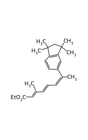 CCOC(=O)/C=C(C)/C=C/C=C(/C)c1ccc2c(c1)C(C)(C)CC2(C)C